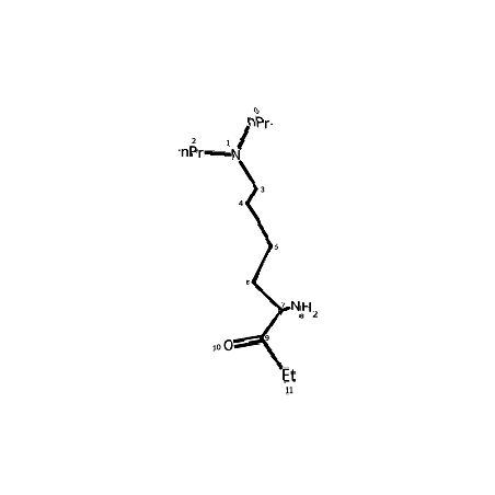 [CH2][CH][CH]N([CH][CH][CH2])CCCCC(N)C(=O)CC